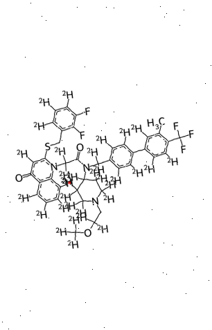 [2H]c1c([2H])c(F)c(F)c(CSc2c([2H])c(=O)c3c([2H])c([2H])c([2H])c([2H])c3n2C([2H])([2H])C(=O)N(C([2H])([2H])c2c([2H])c([2H])c(-c3c([2H])c([2H])c(C(F)(F)F)c(C)c3[2H])c([2H])c2[2H])C2([2H])C([2H])([2H])C([2H])([2H])N(CC([2H])([2H])OC([2H])([2H])[2H])C([2H])([2H])C2([2H])[2H])c1[2H]